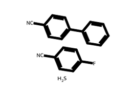 N#Cc1ccc(-c2ccccc2)cc1.N#Cc1ccc(F)cc1.S